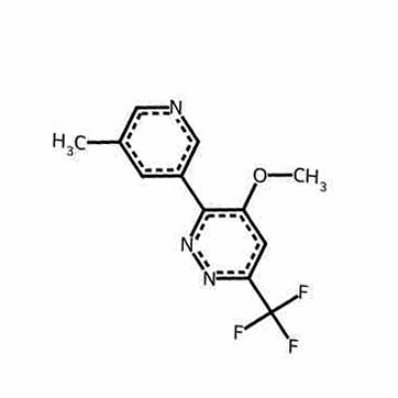 COc1cc(C(F)(F)F)nnc1-c1cncc(C)c1